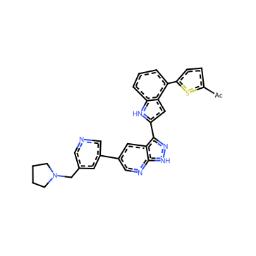 CC(=O)c1ccc(-c2cccc3[nH]c(-c4n[nH]c5ncc(-c6cncc(CN7CCCC7)c6)cc45)cc23)s1